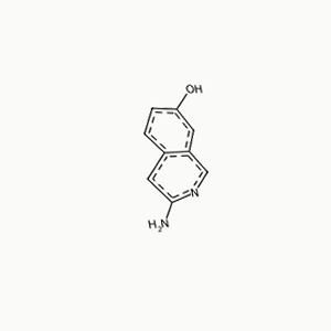 Nc1cc2ccc(O)cc2cn1